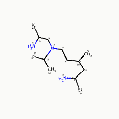 CCC(N)C[C@H](C)CCN(CC(N)CC)C(C)C(C)C